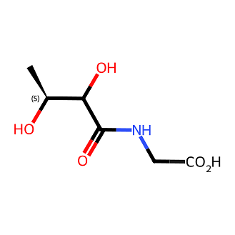 C[C@H](O)C(O)C(=O)NCC(=O)O